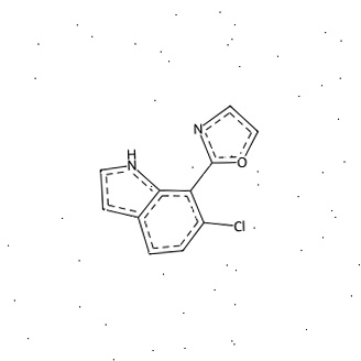 Clc1ccc2cc[nH]c2c1-c1ncco1